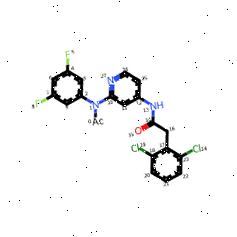 CC(=O)N(c1cc(F)cc(F)c1)c1cc(NC(=O)Cc2c(Cl)cccc2Cl)ccn1